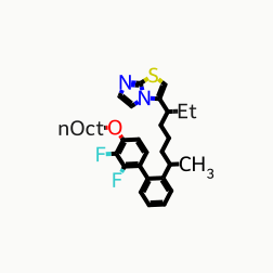 CCCCCCCCOc1ccc(-c2ccccc2C(C)CCCC(CC)c2csc3nccn23)c(F)c1F